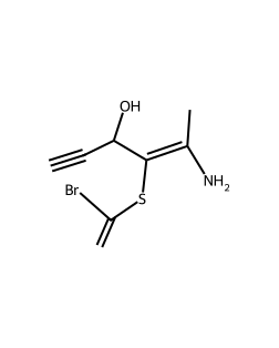 C#CC(O)/C(SC(=C)Br)=C(\C)N